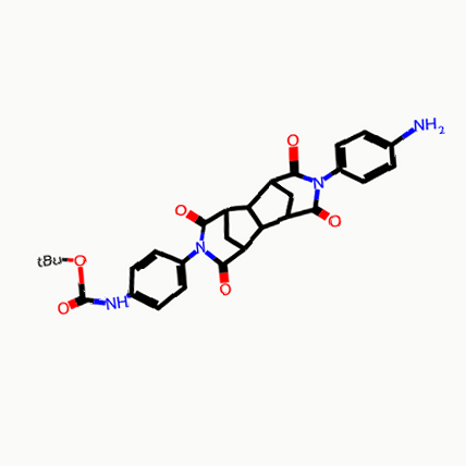 CC(C)(C)OC(=O)Nc1ccc(N2C(=O)C3CC(C2=O)C2C4CC(C(=O)N(c5ccc(N)cc5)C4=O)C32)cc1